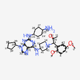 COc1ccc(OC)c(C(C(C)=O)N2CCC(Nc3nc(NC4CCC(N)CC4)nc4c3ncn4C3CCCC3)CC2)c1